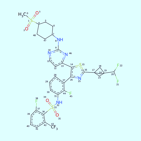 CS(=O)(=O)C1CCC(Nc2nccc(-c3sc(C45CC(C(F)F)(C4)C5)nc3-c3cccc(NS(=O)(=O)c4c(F)cccc4C(F)(F)F)c3F)n2)CC1